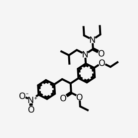 CCOC(=O)C(Cc1ccc([N+](=O)[O-])cc1)c1ccc(OCC)c(N(CC(C)C)C(=O)N(CC)CC)c1